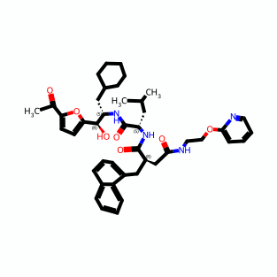 CC(=O)c1ccc([C@H](O)[C@H](CC2CCCCC2)NC(=O)[C@H](CC(C)C)NC(=O)[C@@H](CC(=O)NCCOc2ccccn2)Cc2cccc3ccccc23)o1